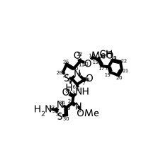 CON=C(C(=O)NC1C(=O)N2C(C(=O)OCC(C)=Cc3ccccc3OC)=CCS[C@@H]12)c1csc(N)n1